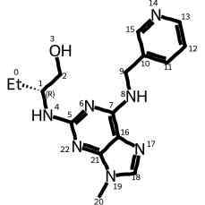 CC[C@H](CO)Nc1nc(NCc2cccnc2)c2ncn(C)c2n1